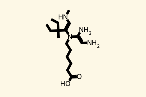 CCC(C)(CC)/C(=C\NC)N(CCCCCC(=O)O)/C(N)=C/N